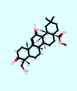 COC(=O)[C@]12CCC(C)(C)C[C@H]1[C@H]1C(=O)C=C3[C@@]4(C)CCC(=O)[C@@](C)(CO)C4CC[C@@]3(C)[C@]1(C)CC2